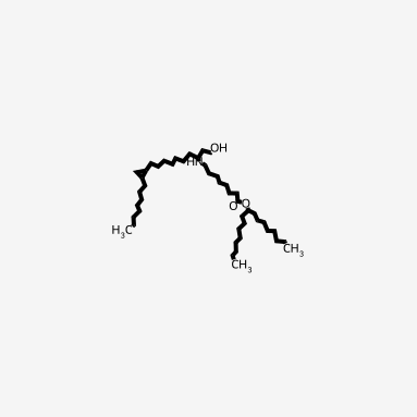 CCCCCCCCC(CCCCCCCC)OC(=O)CCCCCCCNC(CCO)CCCCCCCC1CC1CCCCCCCC